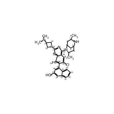 CC1CC2CC(CC(C)N2c2nc(N3CC(N(C)C)C3)nc3c(F)c(-c4cc(O)cc5ccccc45)c(Cl)cc23)N1